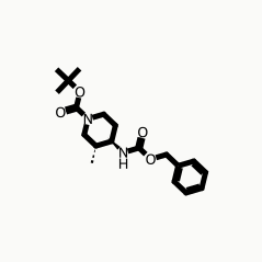 C[C@@H]1CN(C(=O)OC(C)(C)C)CC[C@H]1NC(=O)OCc1ccccc1